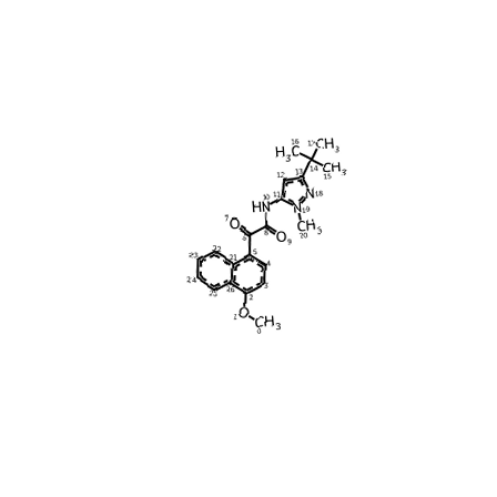 COc1ccc(C(=O)C(=O)Nc2cc(C(C)(C)C)nn2C)c2ccccc12